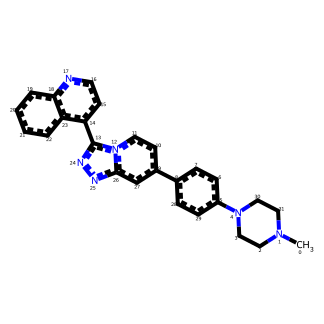 CN1CCN(c2ccc(-c3ccn4c(-c5ccnc6ccccc56)nnc4c3)cc2)CC1